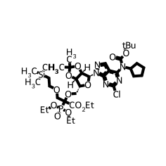 CCOC(=O)C(COCC[Si](C)(C)C)(OC[C@H]1O[C@@H](n2ncc3c(N(C(=O)OC(C)(C)C)C4CCCC4)nc(Cl)nc32)[C@@H]2OC(C)(C)O[C@@H]21)P(=O)(OCC)OCC